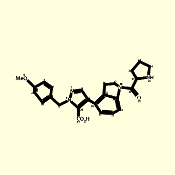 COc1ccc(Cn2ncc(-c3cccc4c3CCN4C(=O)C3CCCN3)c2C(=O)O)cc1